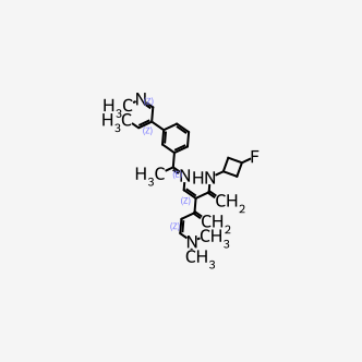 C=C(/C=C\N(C)C)/C(=C/N=C(\C)c1cccc(C(/C=N\C)=C/C)c1)C(=C)NC1CC(F)C1